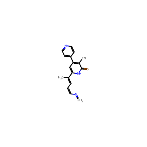 C=N/C=C\C=C(/C)c1cc(-c2ccncc2)c(C#N)c(=S)[nH]1